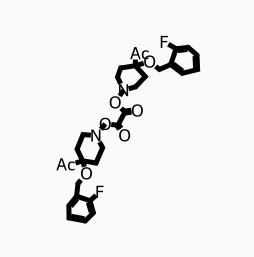 CC(=O)C1(OCc2ccccc2F)CCN(OC(=O)C(=O)ON2CCC(OCc3ccccc3F)(C(C)=O)CC2)CC1